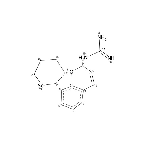 C1=Cc2ccccc2OC1.C1CC[Se]CC1.N=C(N)N